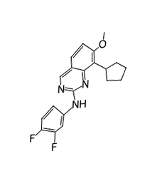 COc1ccc2cnc(Nc3ccc(F)c(F)c3)nc2c1C1CCCC1